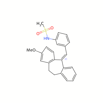 COc1ccc2c(c1)CCc1ccccc1/C2=C/c1cccc(NS(C)(=O)=O)c1